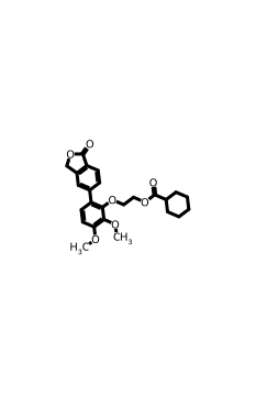 COc1ccc(-c2ccc3c(c2)COC3=O)c(OCCOC(=O)C2CCCCC2)c1OC